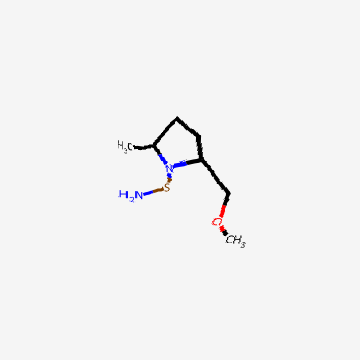 COCC1CCC(C)N1SN